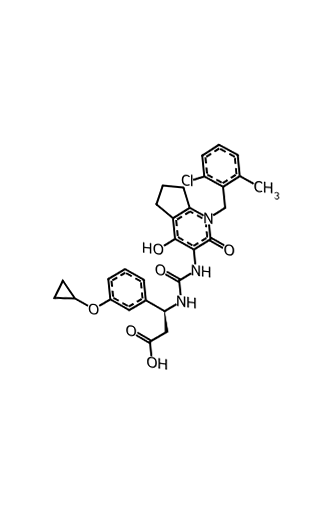 Cc1cccc(Cl)c1Cn1c2c(c(O)c(NC(=O)N[C@@H](CC(=O)O)c3cccc(OC4CC4)c3)c1=O)CCC2